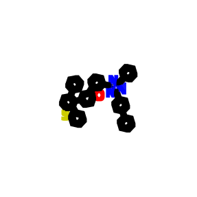 c1ccc(-c2ccc(-c3nc(-c4ccccc4)nc(-c4cccc5c4oc4ccc(-c6c(-c7ccccc7)ccc7sc8ccccc8c67)cc45)n3)cc2)cc1